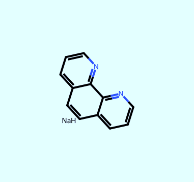 [NaH].c1cnc2c(c1)ccc1cccnc12